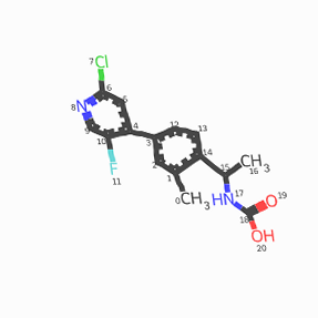 Cc1cc(-c2cc(Cl)ncc2F)ccc1C(C)NC(=O)O